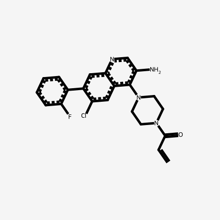 C=CC(=O)N1CCN(c2c(N)cnc3cc(-c4ccccc4F)c(Cl)cc23)CC1